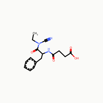 CCN(C#N)C(=O)C(Cc1ccccc1)NC(=O)CCC(=O)O